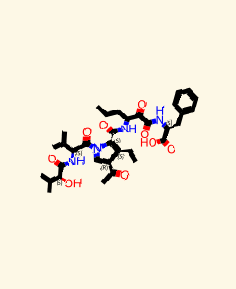 CCCC(NC(=O)[C@@H]1[C@@H](CC)[C@@H](C(C)=O)CN1C(=O)[C@@H](NC(=O)[C@@H](O)C(C)C)C(C)C)C(=O)C(=O)N[C@@H](Cc1ccccc1)C(=O)O